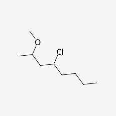 CCCCC(Cl)CC(C)OC